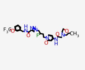 CC1CN(CC(=O)Nc2ccn(CCC(F)Cn3cc(C(=O)NCc4cccc(OC(F)(F)F)c4)nn3)c(=O)c2)CCO1